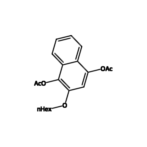 CCCCCCOc1cc(OC(C)=O)c2ccccc2c1OC(C)=O